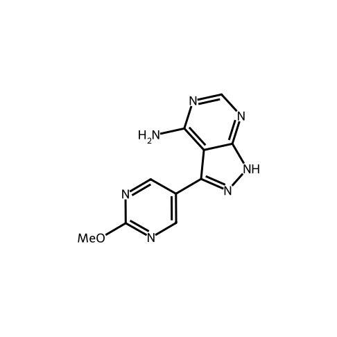 COc1ncc(-c2n[nH]c3ncnc(N)c23)cn1